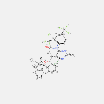 Cc1nc(Cl)c2c(n1)N(c1ccc(C(F)(F)F)cc1C(F)(F)F)C(O)CC2CO[Si](c1ccccc1)(c1ccccc1)C(C)(C)C